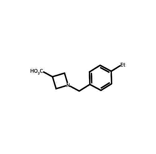 CCc1ccc(CN2CC(C(=O)O)C2)cc1